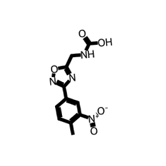 Cc1ccc(-c2noc(CNC(=O)O)n2)cc1[N+](=O)[O-]